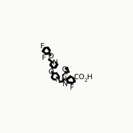 O=C(O)c1cc(F)c2nc(CN3CCC(Oc4ccnc(COc5ccc(F)cc5F)c4)CC3)n(C[C@@H]3CCO3)c2c1